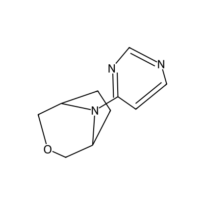 c1cc(N2C3CCC2COC3)ncn1